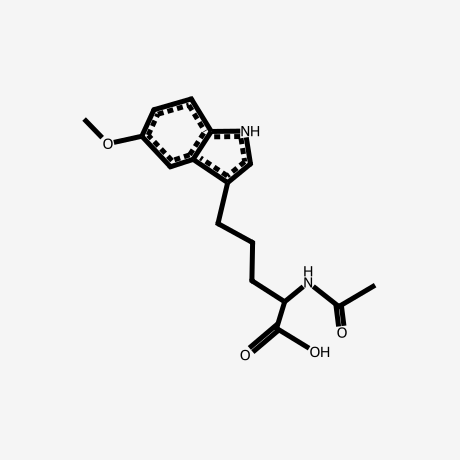 COc1ccc2[nH]cc(CCCC(NC(C)=O)C(=O)O)c2c1